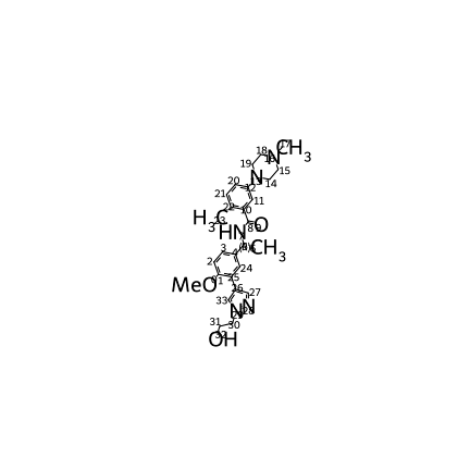 COc1ccc([C@@H](C)NC(=O)c2cc(N3CCN(C)CC3)ccc2C)cc1-c1cnn(CCO)c1